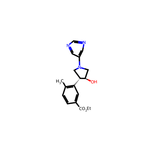 CCOC(=O)c1ccc(C)c([C@@H]2CN(c3cncnc3)C[C@H]2O)c1